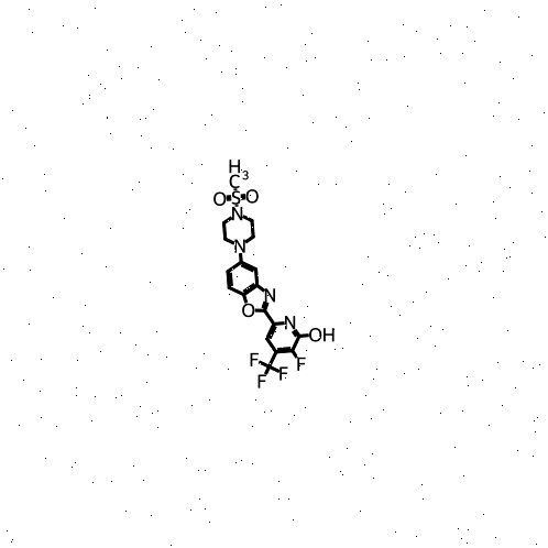 CS(=O)(=O)N1CCN(c2ccc3oc(-c4cc(C(F)(F)F)c(F)c(O)n4)nc3c2)CC1